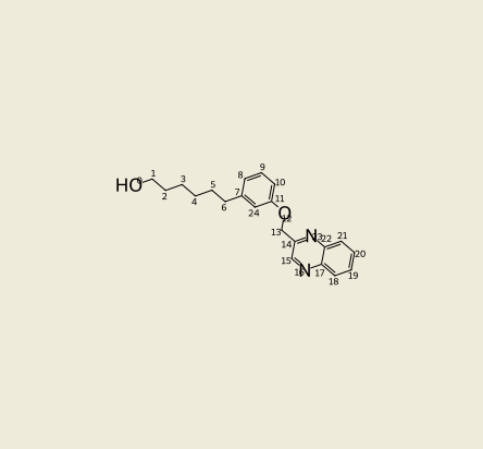 OCCCCCCc1cccc(OCc2cnc3ccccc3n2)c1